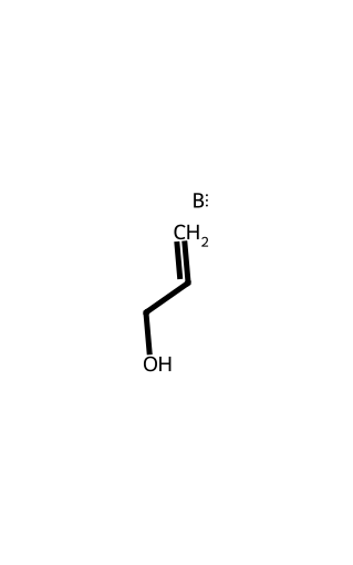 C=CCO.[B]